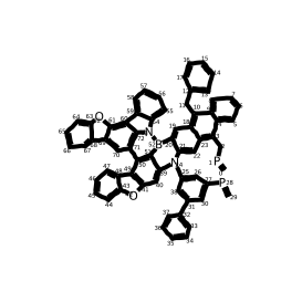 C=PCc1c2ccccc2c(Cc2ccccc2)c2cc3c(cc12)N(c1cc(P=C)cc(-c2ccccc2)c1)c1cc2oc4ccccc4c2c2c1B3n1c3ccccc3c3c4oc5ccccc5c4cc-2c31